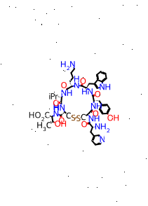 CC(C)[C@@H]1NC(=O)[C@H](CCCCN)NC(=O)[C@@H](Cc2c[nH]c3ccccc23)NC(=O)[C@H](Cc2ccc(O)cc2)NC(=O)[C@@H](NC(=O)[C@H](N)Cc2cccnc2)CSSC[C@@H](C(=O)N[C@H](C(=O)O)[C@@H](C)O)NC1=O